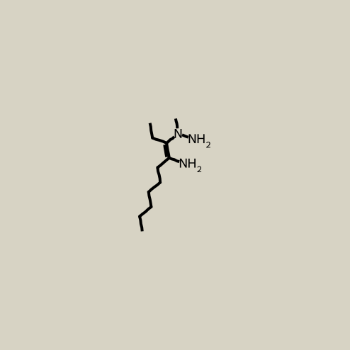 CCCCCC/C(N)=C(\CC)N(C)N